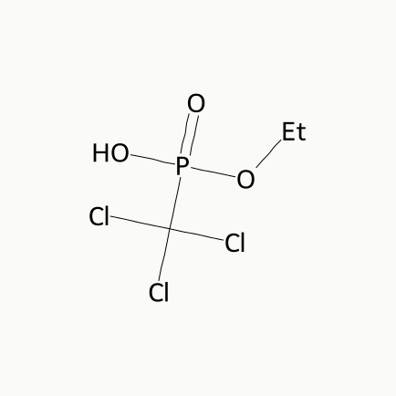 CCOP(=O)(O)C(Cl)(Cl)Cl